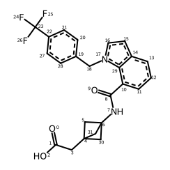 O=C(O)CC12CC(NC(=O)c3cccc4ccn(Cc5ccc(C(F)(F)F)cc5)c34)(C1)C2